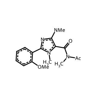 CNc1nc(-c2ccccc2OC)n(C)c1C(=O)N(C)C(C)=O